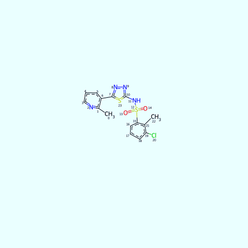 Cc1ncccc1-c1nnc(NS(=O)(=O)c2cccc(Cl)c2C)s1